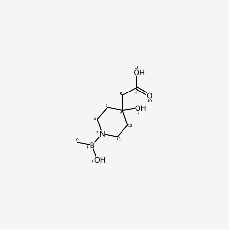 CB(O)N1CCC(O)(CC(=O)O)CC1